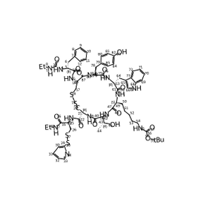 CCNC(=O)N[C@H](Cc1ccccc1)C(=O)N[C@H]1CSSC[C@@H](C(=O)N[C@@H](CSSc2ccccn2)C(=O)NCC)NC(=O)[C@H]([C@@H](C)O)NC(=O)[C@H](CCCCCNC(=O)OC(C)(C)C)NC(=O)[C@@H](Cc2c[nH]c3ccccc23)NC(=O)[C@H](Cc2ccc(O)cc2)NC1=O